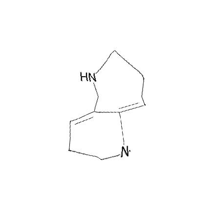 C1=C2[N]CCC=C2NCC1